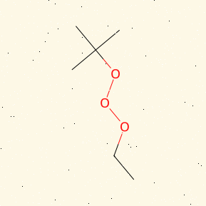 CCOOOC(C)(C)C